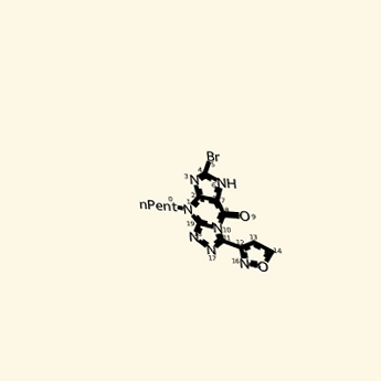 CCCCCn1c2nc(Br)[nH]c2c(=O)n2c(-c3ccon3)nnc12